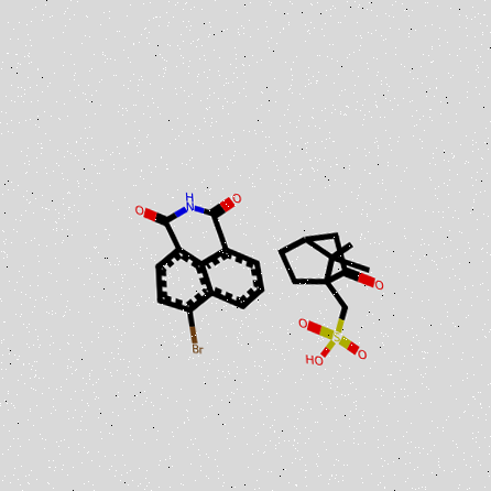 CC1(C)C2CCC1(CS(=O)(=O)O)C(=O)C2.O=C1NC(=O)c2ccc(Br)c3cccc1c23